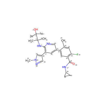 [2H]C([2H])(O)C(C)(C)Nc1ncc(-c2cc(C(=O)NC3CC3)c(F)cc2C)cc1-c1cnn(C)c1